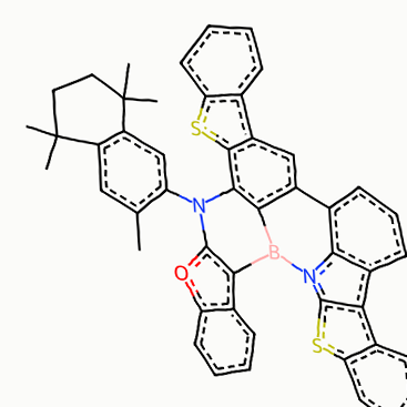 Cc1cc2c(cc1N1c3oc4ccccc4c3B3c4c(cc5c(sc6ccccc65)c41)-c1cccc4c5c6ccccc6sc5n3c14)C(C)(C)CCC2(C)C